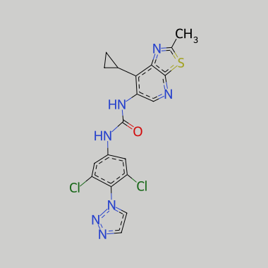 Cc1nc2c(C3CC3)c(NC(=O)Nc3cc(Cl)c(-n4ccnn4)c(Cl)c3)cnc2s1